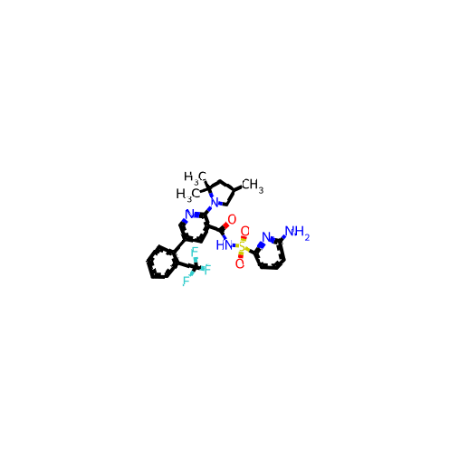 CC1CN(c2ncc(-c3ccccc3C(F)(F)F)cc2C(=O)NS(=O)(=O)c2cccc(N)n2)C(C)(C)C1